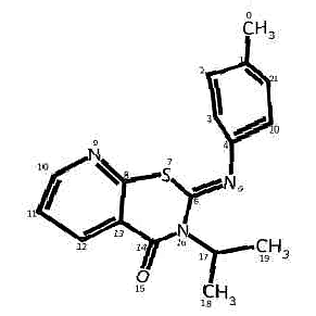 Cc1ccc(N=c2sc3ncccc3c(=O)n2C(C)C)cc1